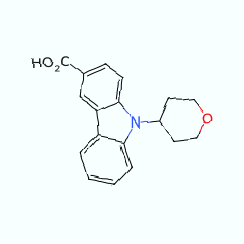 O=C(O)c1ccc2c(c1)c1ccccc1n2C1CCOCC1